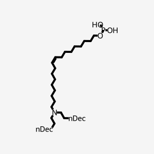 CCCCCCCCCCCCN(CCCCCCCC/C=C\CCCCCCCCOP(O)O)CCCCCCCCCCCC